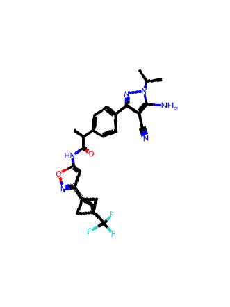 CC(C(=O)Nc1cc(C23CC(C(F)(F)F)(C2)C3)no1)c1ccc(-c2nn(C(C)C)c(N)c2C#N)cc1